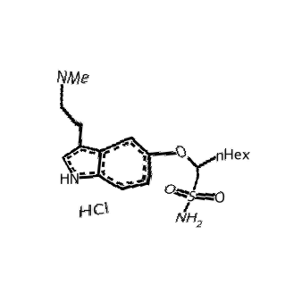 CCCCCCC(Oc1ccc2[nH]cc(CCNC)c2c1)S(N)(=O)=O.Cl